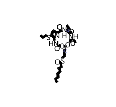 C/C=C1\NC(=O)c2ccc(SCCC)c(n2)CNC(=O)C[C@@H](/C=C/CCSC(=O)CCCCCCC)OC(=O)[C@H](CC)NC1=O